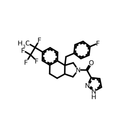 CC(F)(c1ccc2c(c1)CCC1CN(C(=O)c3cc[nH]n3)CC21Cc1ccc(F)cc1)C(F)(F)F